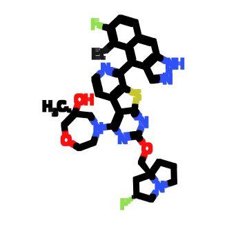 CCc1c(F)ccc2cc3[nH]ncc3c(-c3nccc4c3sc3nc(OC[C@@]56CCCN5C[C@H](F)C6)nc(N5CCOC[C@@](C)(O)C5)c34)c12